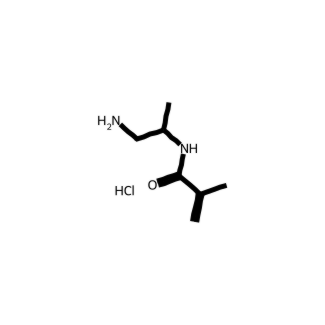 C=C(C)C(=O)NC(C)CN.Cl